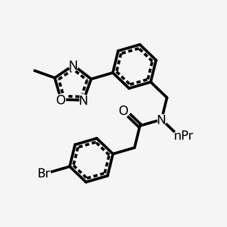 CCCN(Cc1cccc(-c2noc(C)n2)c1)C(=O)Cc1ccc(Br)cc1